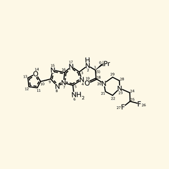 CC(C)[C@H](Nc1nc(N)n2nc(-c3ccco3)nc2n1)C(=O)N1CCN(CC(F)F)CC1